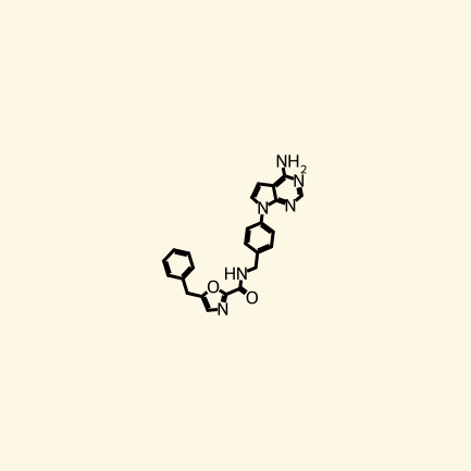 Nc1ncnc2c1ccn2-c1ccc(CNC(=O)c2ncc(Cc3ccccc3)o2)cc1